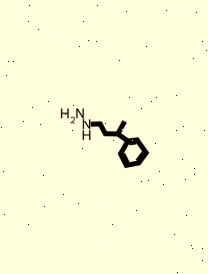 CC(CCNN)c1ccccc1